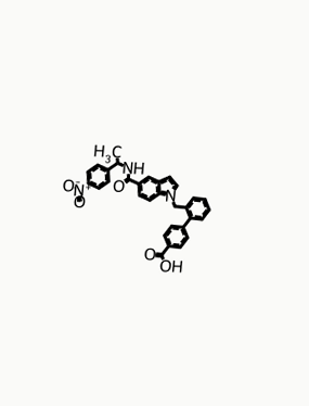 CC(NC(=O)c1ccc2c(ccn2Cc2ccccc2-c2ccc(C(=O)O)cc2)c1)c1ccc([N+](=O)[O-])cc1